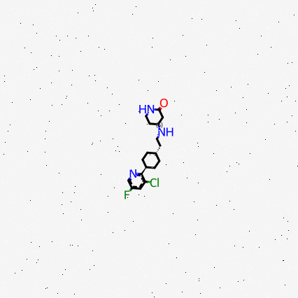 O=C1C[C@@H](NCC[C@H]2CC[C@H](c3ncc(F)cc3Cl)CC2)CCN1